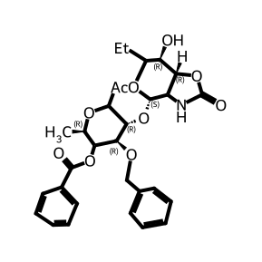 CCC1O[C@@H](O[C@H]2C(C(C)=O)O[C@H](C)C(OC(=O)c3ccccc3)[C@@H]2OCc2ccccc2)C2NC(=O)O[C@H]2[C@@H]1O